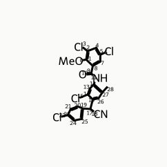 COc1c(Cl)cc(Cl)cc1C(=O)Nc1cc(Cl)c(C(C#N)c2ccc(Cl)cc2)cc1C